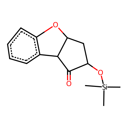 C[Si](C)(C)OC1CC2Oc3ccccc3C2C1=O